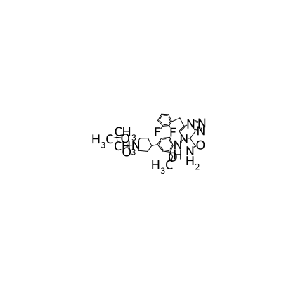 COc1cc(C2CCN(C(=O)OC(C)(C)C)CC2)ccc1NN1C=C(Cc2cccc(F)c2F)n2cnnc2C1C(N)=O